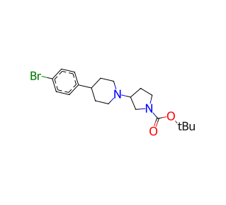 CC(C)(C)OC(=O)N1CCC(N2CCC(c3ccc(Br)cc3)CC2)C1